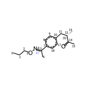 CCCO/N=C(\C)c1ccc(C[C@H](C)C(C)=O)cc1